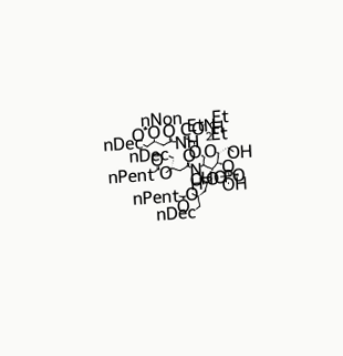 CCCCCCCCCCC[C@H](CC(=O)N[C@H]1[C@@H](OC[C@H](NC(=O)C[C@@H](CCCCCCCCCCC)OC(=O)CCCCCCCCC)C(=O)O)O[C@H](CO)[C@@H](OP(=O)(O)O)[C@@H]1OC(=O)C[C@@H](CCCCCCCCCCC)OC(=O)CCCCC)OC(=O)CCCCC.CCN(CC)CC